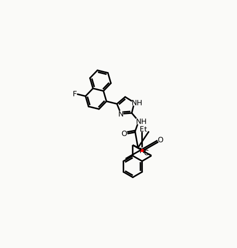 CCN1C(=O)C2CC(C)(C(=O)Nc3nc(-c4ccc(F)c5ccccc45)c[nH]3)C1c1ccccc12